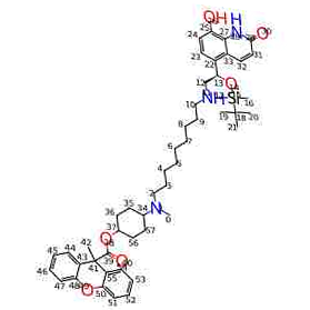 CN(CCCCCCCCCNC[C@H](O[Si](C)(C)C(C)(C)C)c1ccc(O)c2[nH]c(=O)ccc12)C1CCC(OC(=O)C2(C)c3ccccc3Oc3ccccc32)CC1